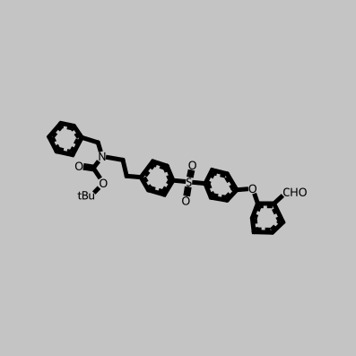 CC(C)(C)OC(=O)N(CCc1ccc(S(=O)(=O)c2ccc(Oc3ccccc3C=O)cc2)cc1)Cc1ccccc1